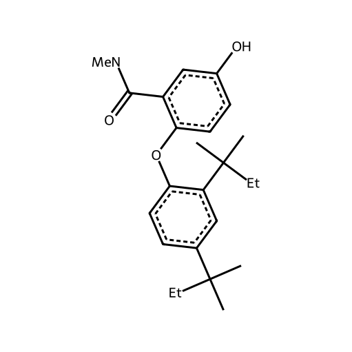 CCC(C)(C)c1ccc(Oc2ccc(O)cc2C(=O)NC)c(C(C)(C)CC)c1